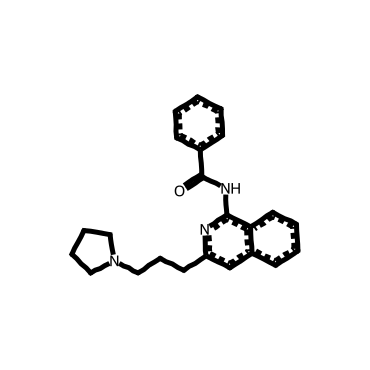 O=C(Nc1nc(CCCN2CCCC2)cc2ccccc12)c1ccccc1